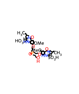 C/C=C1\C[C@H]2C(S(=O)(=O)O)Nc3cc(OCCCP(=O)(CCCO)CCCOc4cc5c(cc4OC)C(=O)N4C/C(=C/C)C[C@H]4C(S(=O)(=O)O)N5)c(OC)cc3C(=O)N2C1